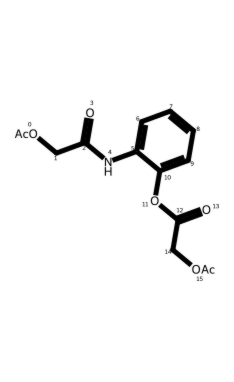 CC(=O)OCC(=O)Nc1ccccc1OC(=O)COC(C)=O